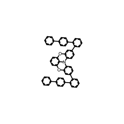 c1ccc(-c2ccc(-c3ccccc3-c3ccc4c(c3)Oc3cccc5c3N4c3ccc(-c4ccccc4-c4ccc(-c6ccccc6)cc4)cc3O5)cc2)cc1